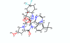 CO[C@@H]1C[C@H](C(=O)N(c2ccc(C(C)(C)C)cc2)[C@@](C)(C(=O)NC2CCC(F)(F)CC2)c2cnccn2)N(C(=O)OC(C)(C)C)C1